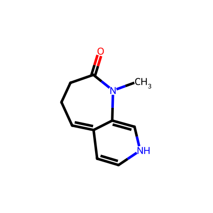 CN1C(=O)CCC=C2C=CNC=C21